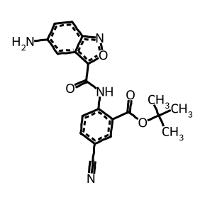 CC(C)(C)OC(=O)c1cc(C#N)ccc1NC(=O)c1onc2ccc(N)cc12